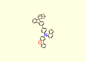 c1ccc2c(c1)-c1cc(-c3ccc(N(c4ccc5oc6ccccc6c5c4)c4cccc5ccccc45)cc3)ccc1C21C2CC3CC(C2)CC1C3